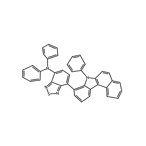 c1ccc(N(c2ccccc2)c2ccc(-c3cccc4c5c6ccccc6ccc5n(-c5ccccc5)c34)c3nsnc23)cc1